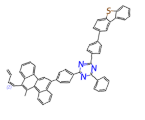 C=C/C=C\c1c(C)c2c3ccccc3c(-c3ccc(-c4nc(-c5ccccc5)nc(-c5ccc(-c6ccc7sc8ccccc8c7c6)cc5)n4)cc3)cc2c2ccccc12